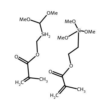 C=C(C)C(=O)OCC[Si](OC)(OC)OC.C=C(C)C(=O)OC[SiH2]C(OC)OC